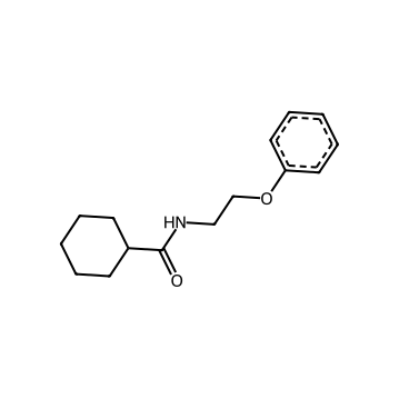 O=C(NCCOc1ccccc1)C1CCCCC1